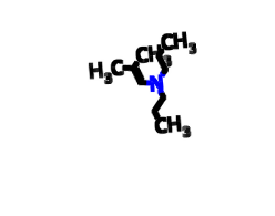 CCCN(C=C(C)C)CCC